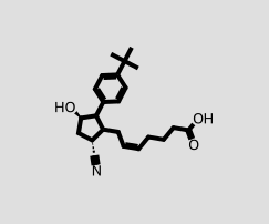 CC(C)(C)c1ccc(C2C(C/C=C\CCCC(=O)O)[C@H](C#N)C[C@H]2O)cc1